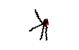 CCCCCCCCCCCCC1(CCCCCCCCCCCC)C[Si](C)(C)[Si](C)(C)OC1(CCCCCCCCCCCC)CCCCCCCCCCCC